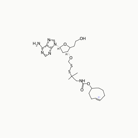 CC(C)(CNC(=O)OC1CC/C=C/CCC1)SSCO[C@@H]1C[C@H](n2cnc3c(N)ncnc32)OC1CCO